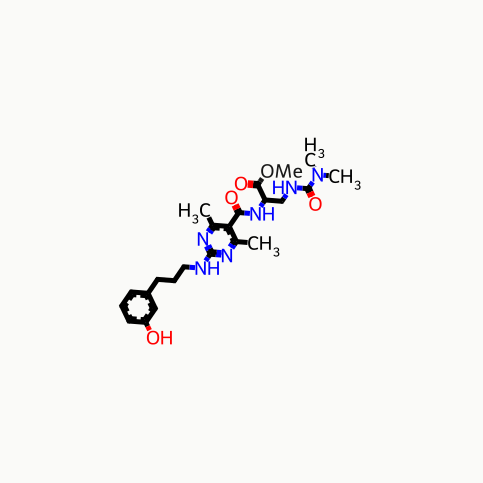 COC(=O)C(CNC(=O)N(C)C)NC(=O)c1c(C)nc(NCCCc2cccc(O)c2)nc1C